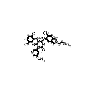 Cc1cncc(-n2c(=O)nc(Nc3cc4cn(CCN)nc4cc3Cl)n(Cc3cc(Cl)ccc3Cl)c2=O)c1